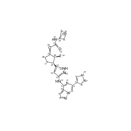 Cn1cc(-c2cn3nccc3c(Nc3cc([C@H]4CC[C@@H](OC(=O)NC56CC(C5)C6)[C@H]4F)[nH]n3)n2)cn1